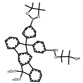 CCCCCCCCC1(CCCCCCCC)c2ccccc2-c2cc3c(cc21)-c1ccccc1C3(c1ccc(BOC(C)(C)C(C)(C)O)cc1)c1ccc(B2OC(C)(C)C(C)(C)O2)cc1